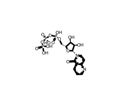 O=c1c2cccnc2ccn1[C@@H]1O[C@H](COP(=O)(O)OP(=O)(O)OP(=O)(O)O)[C@@H](O)[C@H]1O